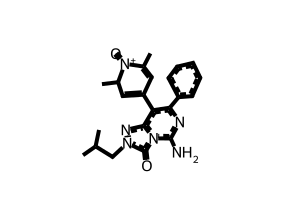 CC1=CC(c2c(-c3ccccc3)nc(N)n3c(=O)n(CC(C)C)nc23)=CC(C)[N+]1=O